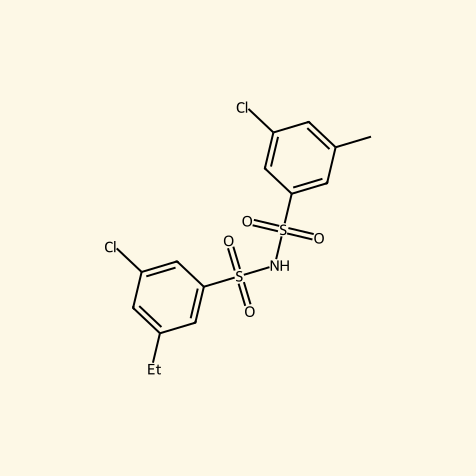 CCc1cc(Cl)cc(S(=O)(=O)NS(=O)(=O)c2cc(C)cc(Cl)c2)c1